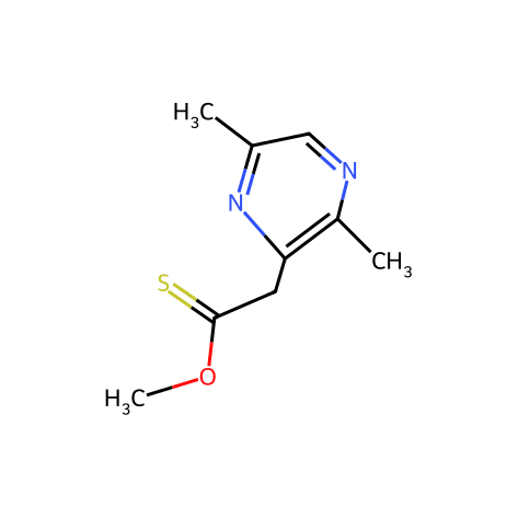 COC(=S)Cc1nc(C)cnc1C